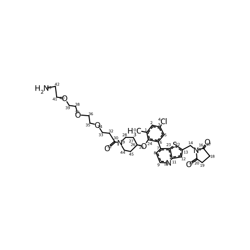 Cc1cc(Cl)cc(-c2ccnc3cc(CN4C(=O)CCC4=O)sc23)c1OC1CCN(C(=O)CCOCCOCCOCCN)CC1